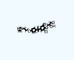 CC(C)(c1ccc(OCCCn2ccnc2)cc1)c1cc(Cl)c(OCC(O)CCl)c(Cl)c1